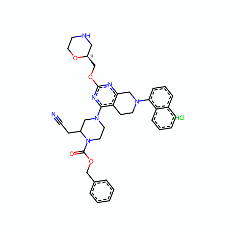 Cl.N#CCC1CN(c2nc(OC[C@@H]3CNCCO3)nc3c2CCN(c2cccc4ccccc24)C3)CCN1C(=O)OCc1ccccc1